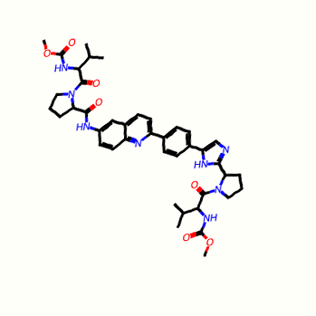 COC(=O)NC(C(=O)N1CCCC1C(=O)Nc1ccc2nc(-c3ccc(-c4cnc(C5CCCN5C(=O)C(NC(=O)OC)C(C)C)[nH]4)cc3)ccc2c1)C(C)C